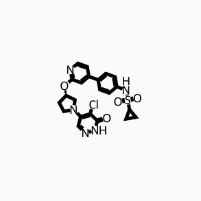 O=c1[nH]ncc(N2CC[C@@H](Oc3cc(-c4ccc(NS(=O)(=O)C5CC5)cc4)ccn3)C2)c1Cl